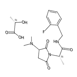 C[C@@H](C(=O)NCc1ccccc1F)N1C(=O)CC(N(C)C)C1=O.C[C@H](O)C(=O)O